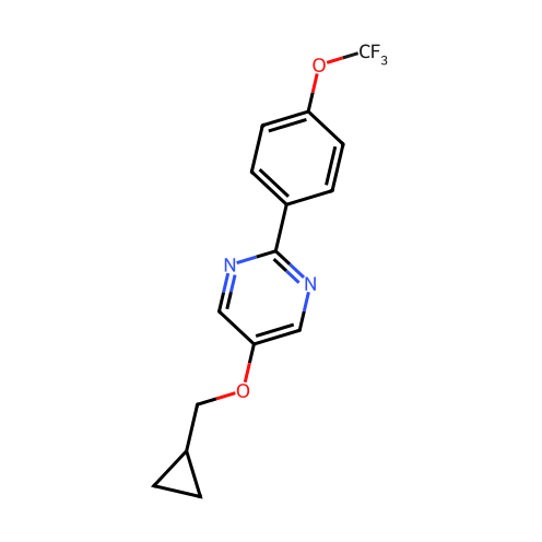 FC(F)(F)Oc1ccc(-c2ncc(OCC3CC3)cn2)cc1